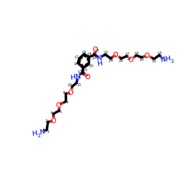 NCCOCCOCCOCCNC(=O)c1cccc(C(=O)NCCOCCOCCOCCN)c1